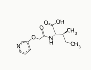 CC[C@H](C)[C@H](NC(=O)COc1cccnc1)C(=O)O